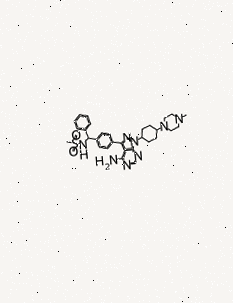 CN1CCN(C2CCC(n3nc(-c4ccc(C(NS(C)(=O)=O)c5ccccc5)cc4)c4c(N)ncnc43)CC2)CC1